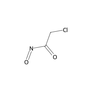 O=NC(=O)CCl